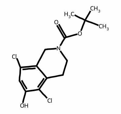 CC(C)(C)OC(=O)N1CCc2c(Cl)c(O)cc(Cl)c2C1